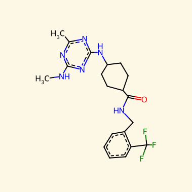 CNc1nc(C)nc(NC2CCC(C(=O)NCc3ccccc3C(F)(F)F)CC2)n1